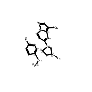 N#Cc1cnn2ccc(N3C[C@@H](F)C[C@@H]3c3cc(F)ccc3OC(F)(F)F)nc12